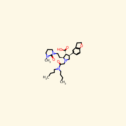 CCCCN(CCCC)C(=O)CN1C[C@H](c2ccc3c(c2)CCO3)[C@@H](C(=O)O)[C@@H]1CCN1CCCN(C)C1=O